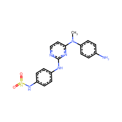 CN(c1ccc(N)cc1)c1ccnc(Nc2ccc(N[SH](=O)=O)cc2)n1